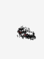 CCOc1cc(Oc2ccc(C(F)(F)F)cc2Cl)ccc1[N+](=O)[O-].CCS(=O)(=O)c1cccnc1S(=O)(=O)NC(=O)Nc1nc(OC)cc(OC)n1.O=C(Nc1nc(OC(F)F)cc(OC(F)F)n1)NS(=O)(=O)c1ccccc1C(=O)O.O=C(O)CNCP(=O)(O)O